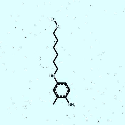 CCOCCCCCCNc1ccc(N)c(C)c1